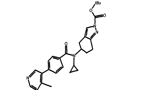 Cc1ccncc1-c1ccc(C(=O)N(C2CC2)C2CCc3nn(C(=O)OC(C)(C)C)cc3C2)cc1